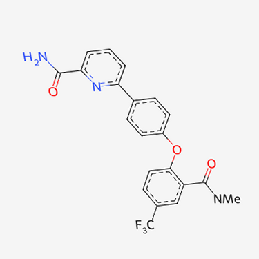 CNC(=O)c1cc(C(F)(F)F)ccc1Oc1ccc(-c2cccc(C(N)=O)n2)cc1